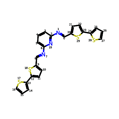 C(=N\c1cccc(/N=C/c2ccc(-c3cccs3)s2)n1)/c1ccc(-c2cccs2)s1